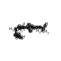 CC1(C)CCC(c2ccc(Cl)cc2)=C(CN2CCN(c3ccc(C(=O)NS(=O)(=O)c4ccc(N[C@H](CCN5CCN(C(=O)CC(C)(C)OCCC(C)(C)OCCNc6cccc7c6C(=O)N(C6CCC(=O)NC6=O)C7=O)CC5)CSc5ccccc5)c(S(=O)(=O)C(F)(F)F)c4)cc3)CC2)C1